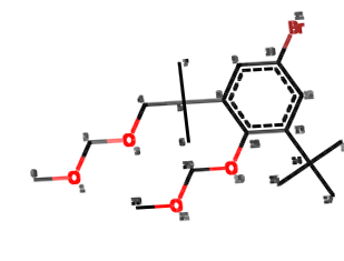 COCOCC(C)(C)c1cc(Br)cc(C(C)(C)C)c1OCOC